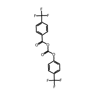 O=C(OC(=O)c1ccc(C(F)(F)F)cc1)Oc1ccc(C(F)(F)F)cc1